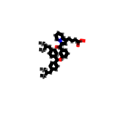 CC(C)Cc1ccc(C(Oc2cccc(C(=O)c3cc(CCCC(=O)O)c4ccccn34)c2)c2ccc(CC(C)C)cc2)cc1